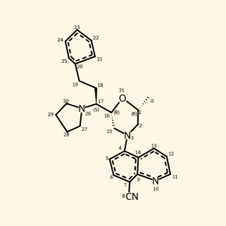 C[C@@H]1CN(c2ccc(C#N)c3ncccc23)C[C@H]([C@H](CCc2ccccc2)N2CCCC2)O1